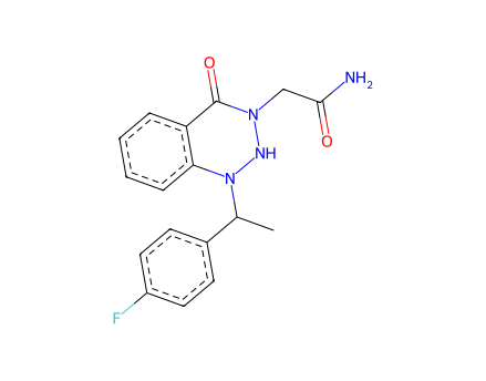 CC(c1ccc(F)cc1)N1NN(CC(N)=O)C(=O)c2ccccc21